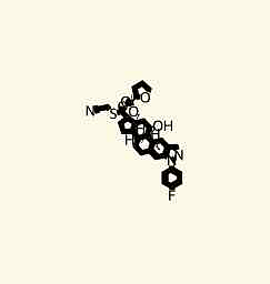 C[C@]12Cc3cnn(-c4ccc(F)cc4)c3C=C1CC[C@@H]1[C@@H]2[C@@H](O)C[C@@]2(C)[C@H]1CC[C@]2(OC(=O)[C@H]1CCCO1)C(=O)SCC#N